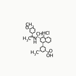 COc1cccc([C@@H](C)NC(C)c2cc(-c3cc(C)cc(C(=O)O)c3)c3ccccc3c2)c1.Cl